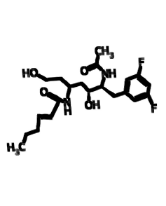 CCC/C=C/C(=O)NC(CCO)C[C@H](O)[C@H](Cc1cc(F)cc(F)c1)NC(C)=O